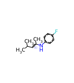 C/C(=C\C(C)C)Nc1ccc(F)cc1